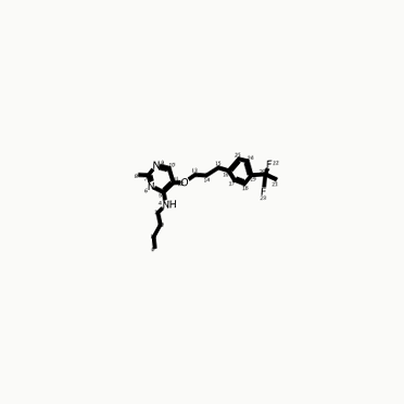 CCCCNc1nc(C)ncc1OCCCc1ccc(C(C)(F)F)cc1